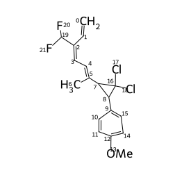 C=C/C(=C\C=C(/C)C1C(c2ccc(OC)cc2)C1(Cl)Cl)C(F)F